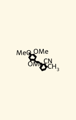 COc1cc(OC)c(OC)cc1C=Cc1cccc(C)c1C#N